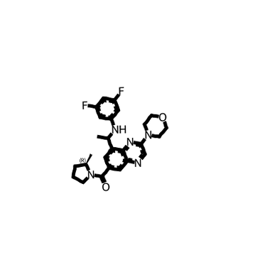 CC(Nc1cc(F)cc(F)c1)c1cc(C(=O)N2CCC[C@H]2C)cc2ncc(N3CCOCC3)nc12